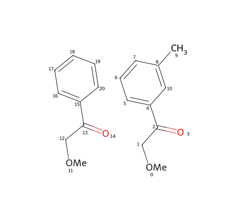 COCC(=O)c1cccc(C)c1.COCC(=O)c1ccccc1